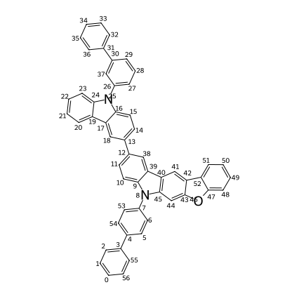 c1ccc(-c2ccc(-n3c4ccc(-c5ccc6c(c5)c5ccccc5n6-c5cccc(-c6ccccc6)c5)cc4c4cc5c(cc43)oc3ccccc35)cc2)cc1